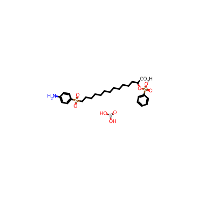 Nc1ccc(S(=O)(=O)CCCCCCCCCCCCC(OS(=O)(=O)c2ccccc2)C(=O)O)cc1.[O]=[Ti]([OH])[OH]